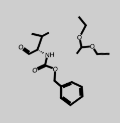 CC(C)[C@@H](C=O)NC(=O)OCc1ccccc1.CCOC(C)OCC